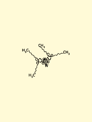 CCCCCCCCOc1ccc(S(=O)(=O)C(=[N+]=[N-])S(=O)(=O)c2ccc(OCCCCCCCC)c(OCCCCCCCC)c2)cc1OCCCCCCCC